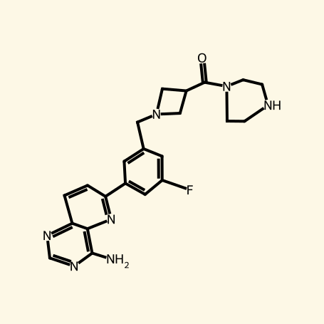 Nc1ncnc2ccc(-c3cc(F)cc(CN4CC(C(=O)N5CCNCC5)C4)c3)nc12